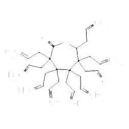 C=CCC1OC(=O)C(CC=C)(CC=C)C(CC=C)(CC=C)C(CC=C)(CC=C)C1(CC=C)CC=C